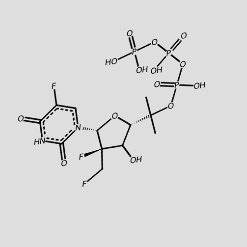 CC(C)(OP(=O)(O)OP(=O)(O)OP(=O)(O)O)[C@H]1O[C@@H](n2cc(F)c(=O)[nH]c2=O)[C@@](F)(CF)C1O